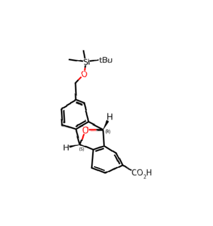 CC(C)(C)[Si](C)(C)OCc1ccc2c(c1)[C@H]1O[C@@H]2c2ccc(C(=O)O)cc21